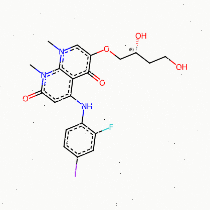 Cn1cc(OC[C@H](O)CCO)c(=O)c2c(Nc3ccc(I)cc3F)cc(=O)n(C)c21